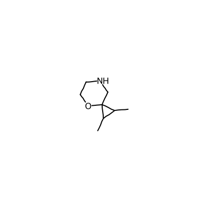 CC1C(C)C12CNCCO2